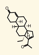 CC[C@]12CC[C@H]3[C@@H](CCC4=CC(=O)CC[C@@H]43)[C@@H]1CC=C2C(C)=O